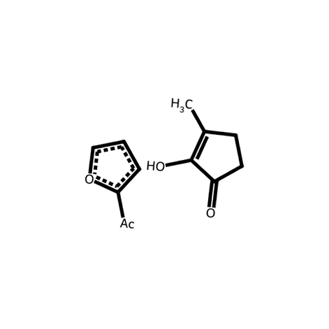 CC(=O)c1ccco1.CC1=C(O)C(=O)CC1